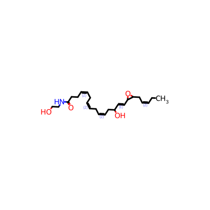 CC/C=C\CC1OC1/C=C/C(O)C/C=C\C/C=C\C/C=C\CCC(=O)NCCO